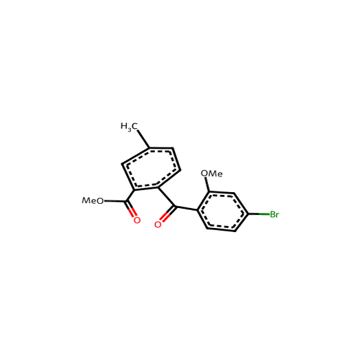 COC(=O)c1cc(C)ccc1C(=O)c1ccc(Br)cc1OC